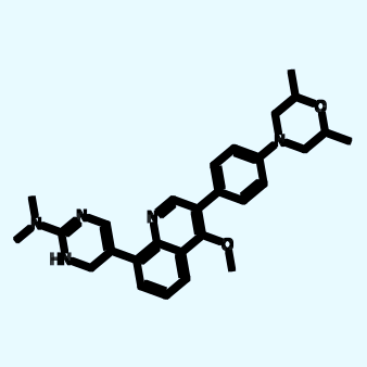 COc1c(-c2ccc(N3CC(C)OC(C)C3)cc2)cnc2c(C3=CN=C(N(C)C)NC3)cccc12